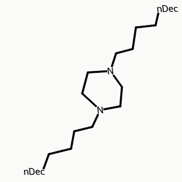 CCCCCCCCCCCCCCN1CCN(CCCCCCCCCCCCCC)CC1